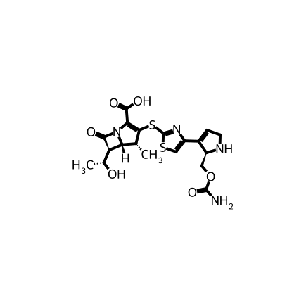 C[C@@H](O)[C@H]1C(=O)N2C(C(=O)O)=C(Sc3nc(C4=CCN[C@H]4COC(N)=O)cs3)[C@H](C)[C@H]12